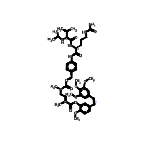 COc1ccc(/C=C\c2cc(OC)c(OC)c(OC)c2)cc1OC(=O)N(C)CCN(C)C(=O)OCc1ccc(NC(=O)[C@H](CCCNC(N)=O)NC(=O)[C@@H](NC(C)C)C(C)C)cc1